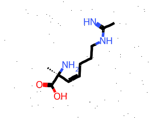 CC(=N)NCCC/C=C\[C@](C)(N)C(=O)O